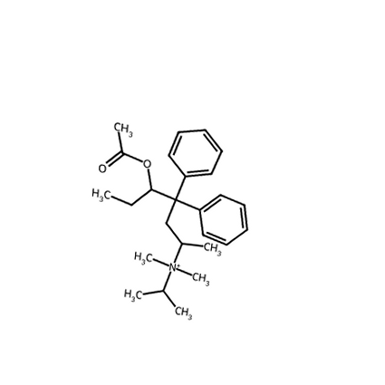 CCC(OC(C)=O)C(CC(C)[N+](C)(C)C(C)C)(c1ccccc1)c1ccccc1